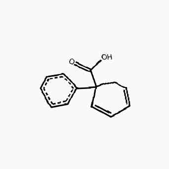 O=C(O)C1(c2ccccc2)C=CC=CC1